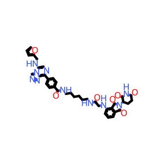 O=C(CNc1cccc2c1C(=O)N(C1CCC(=O)NC1=O)C2=O)NCCCCCCNC(=O)c1ccc(-c2ncc(NCc3ccco3)n3cnnc23)cc1